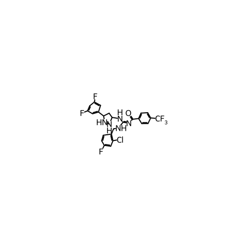 O=C(/N=C(/NCc1ccc(F)cc1Cl)NC1CC(c2cc(F)cc(F)c2)NN1)c1ccc(C(F)(F)F)cc1